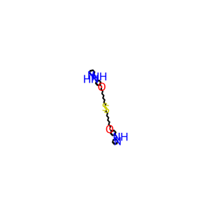 c1ccc(NNc2ccc(OCCCCCCCCSSCCCCCCCCOc3ccc(Nc4ccccn4)cc3)cc2)nc1